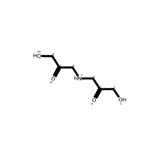 O=C(CO)CNCC(=O)CO